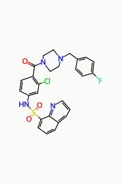 O=C(c1ccc(NS(=O)(=O)c2cccc3cccnc23)cc1Cl)N1CCN(Cc2ccc(F)cc2)CC1